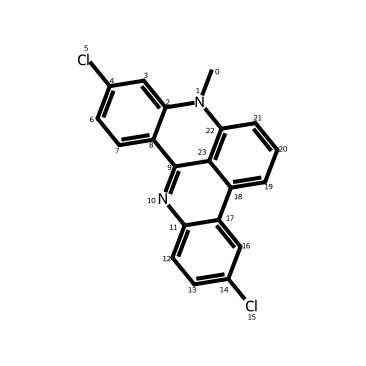 CN1c2cc(Cl)ccc2-c2nc3ccc(Cl)cc3c3cccc1c23